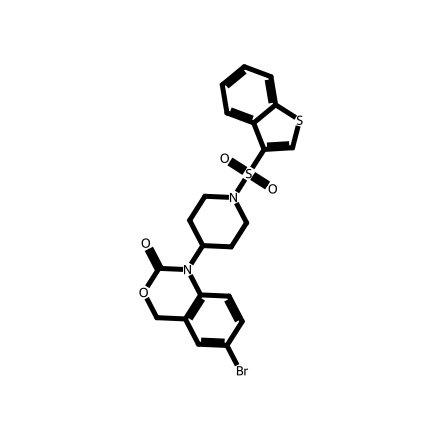 O=C1OCc2cc(Br)ccc2N1C1CCN(S(=O)(=O)c2csc3ccccc23)CC1